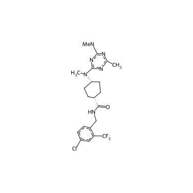 CNc1nc(C)nc(N(C)[C@H]2CC[C@@H](C(=O)NCc3ccc(Cl)cc3C(F)(F)F)CC2)n1